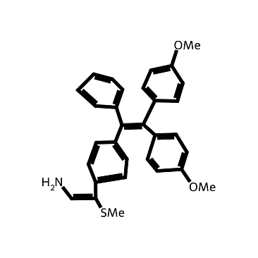 COc1ccc(C(=C(c2ccccc2)c2ccc(/C(=C\N)SC)cc2)c2ccc(OC)cc2)cc1